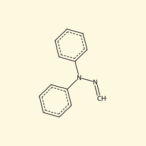 [CH]=NN(c1ccccc1)c1ccccc1